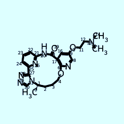 C[C@H]1CCCOc2ncc(OCCN(C)C)cc2C(=O)Nc2cccc(n2)-c2nncn21